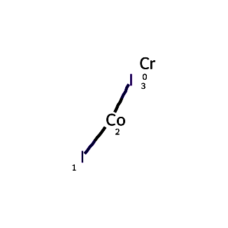 [Cr].[I][Co][I]